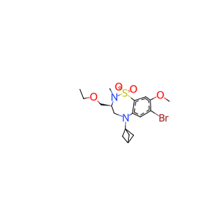 CCOC[C@@H]1CN(C23CC(C2)C3)c2cc(Br)c(OC)cc2S(=O)(=O)N1C